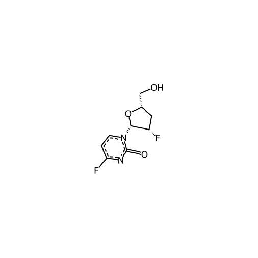 O=c1nc(F)ccn1[C@@H]1O[C@H](CO)C[C@@H]1F